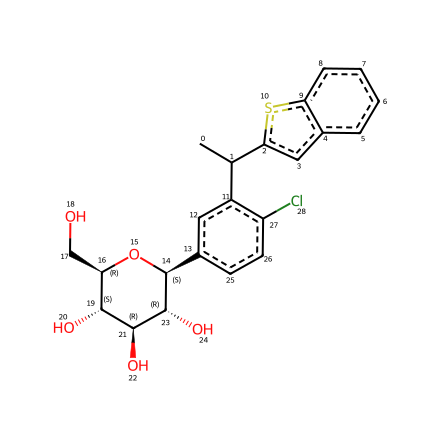 CC(c1cc2ccccc2s1)c1cc([C@@H]2O[C@H](CO)[C@@H](O)[C@H](O)[C@H]2O)ccc1Cl